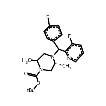 C[C@@H]1CN(C(=O)OC(C)(C)C)[C@@H](C)CN1C(c1ccc(F)cc1)c1ncccc1F